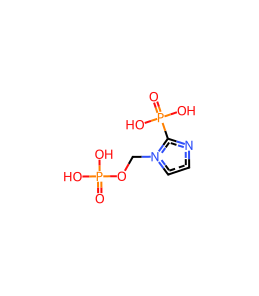 O=P(O)(O)OCn1ccnc1P(=O)(O)O